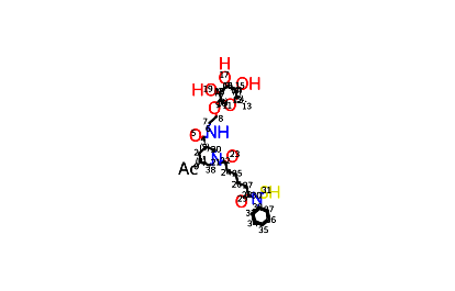 CC(=O)[C@@H]1C[C@H](C(=O)NCCO[C@@H]2O[C@@H](C)[C@@H](O)[C@@H](O)[C@@H]2O)CN(C(=O)CCCCC(=O)N(S)c2ccccc2)C1